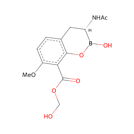 COc1ccc2c(c1C(=O)OCO)OB(O)[C@@H](NC(C)=O)C2